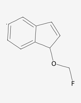 FCOC1C=Cc2c[c]ccc21